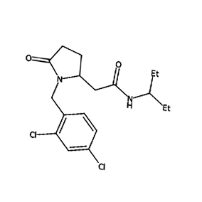 CCC(CC)NC(=O)CC1CCC(=O)N1Cc1ccc(Cl)cc1Cl